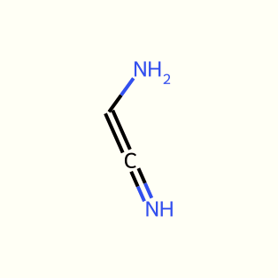 N=C=CN